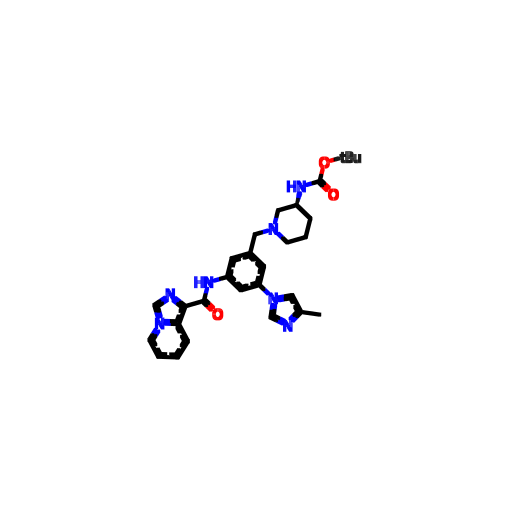 Cc1cn(-c2cc(CN3CCC[C@H](NC(=O)OC(C)(C)C)C3)cc(NC(=O)c3ncn4ccccc34)c2)cn1